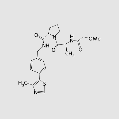 COCC(=O)N[C@@H](C)C(=O)N1CCC[C@H]1C(=O)NCc1ccc(-c2scnc2C)cc1